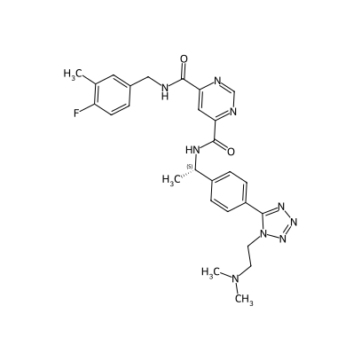 Cc1cc(CNC(=O)c2cc(C(=O)N[C@@H](C)c3ccc(-c4nnnn4CCN(C)C)cc3)ncn2)ccc1F